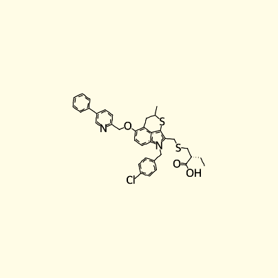 CC[C@@H](CSCc1c2c3c(c(OCc4ccc(-c5ccccc5)cn4)ccc3n1Cc1ccc(Cl)cc1)CC(C)S2)C(=O)O